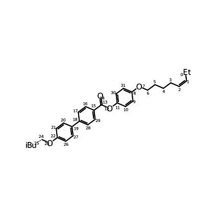 CC/C=C\CCCCOc1ccc(OC(=O)c2ccc(-c3ccc(OC[C@@H](C)CC)cc3)cc2)cc1